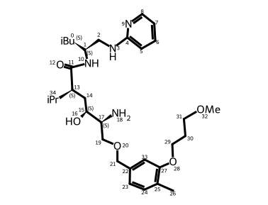 CC[C@H](C)[C@@H](CNc1ccccn1)NC(=O)[C@@H](C[C@H](O)[C@@H](N)COCc1ccc(C)c(OCCCOC)c1)C(C)C